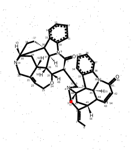 C/C=C1/CN2[C@@H]([C@@H]3C(=O)N4c5ccccc5[C@@]56CCN7CC8=CCO[C@@H]3[C@@H]([C@H]45)[C@H]8C[C@H]76)C[C@]34c5ccccc5N5C(=O)C=C[C@H]([C@H]53)[C@H]1C[C@H]24